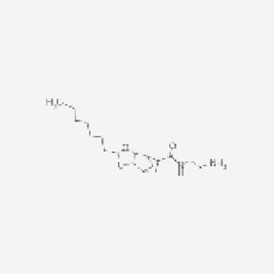 CCCCCCCC1OC2C3CC(C(=O)NCCN)C(C3)C2O1